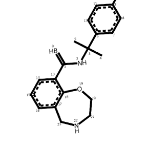 B=C(NC(C)(C)c1ccc(Cl)cc1)c1cccc2c1OCCNC2